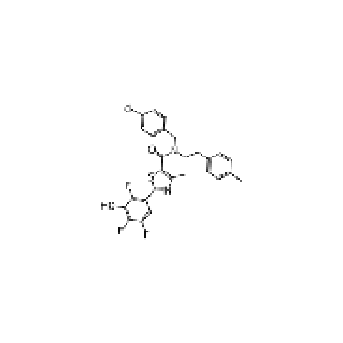 Cc1ccc(CCN(Cc2ccc(Cl)cc2)C(=O)c2sc(-c3cc(F)c(F)c(O)c3F)nc2C)cc1